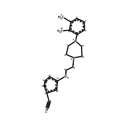 Cc1cccc(N2CCN(CCOc3cccc(C#N)c3)CC2)c1C